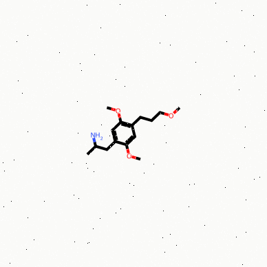 COCCCc1cc(OC)c(CC(C)N)cc1OC